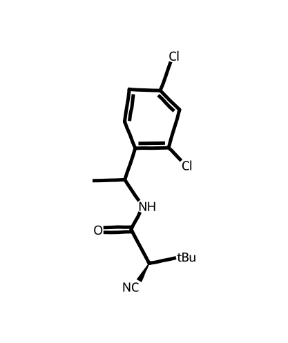 CC(NC(=O)[C@H](C#N)C(C)(C)C)c1ccc(Cl)cc1Cl